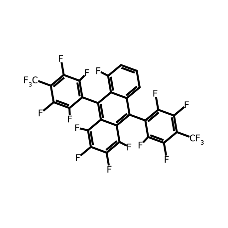 Fc1c(F)c(C(F)(F)F)c(F)c(F)c1-c1c2cccc(F)c2c(-c2c(F)c(F)c(C(F)(F)F)c(F)c2F)c2c(F)c(F)c(F)c(F)c12